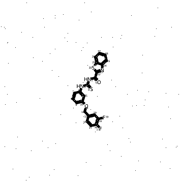 O=C(NC(=S)Nc1cccc(OCc2ccc(F)c(F)c2)c1)c1nc2ccccc2s1